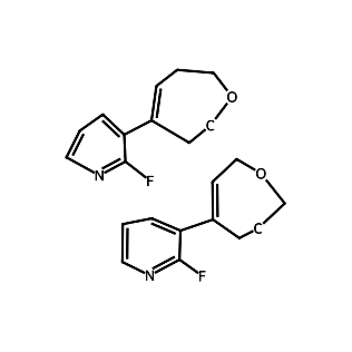 Fc1ncccc1C1=CCCOCC1.Fc1ncccc1C1=CCOCCC1